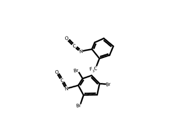 O=C=Nc1c(Br)cc(Br)cc1Br.O=C=Nc1ccccc1C(F)(F)F